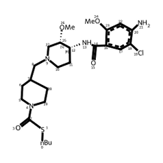 CCCCSC(=O)N1CCC(CN2CC[C@@H](NC(=O)c3cc(Cl)c(N)cc3OC)[C@@H](OC)C2)CC1